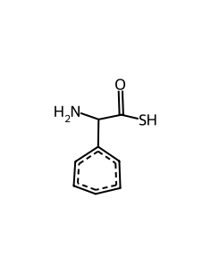 NC(C(=O)S)c1ccccc1